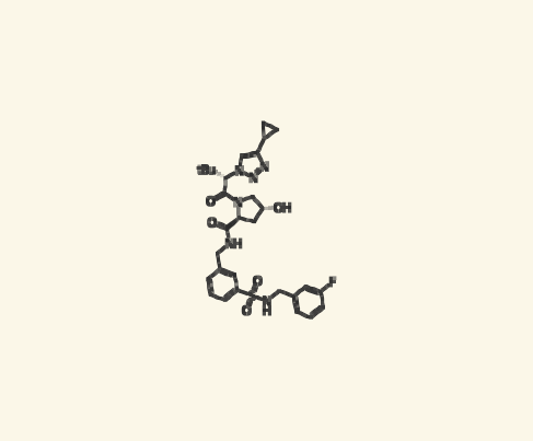 CC(C)(C)[C@@H](C(=O)N1C[C@H](O)C[C@H]1C(=O)NCc1cccc(S(=O)(=O)NCc2cccc(F)c2)c1)n1cc(C2CC2)nn1